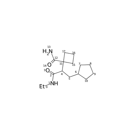 CCNC(=O)C(CC1CCCC1)C1(C(N)=O)CCC1